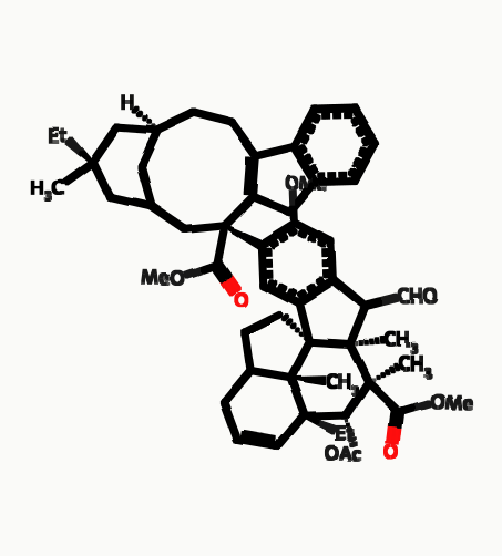 CC[C@]1(C)CC2C[C@H](CCC3=C(Cc4ccccc43)[C@@](C(=O)OC)(c3cc4c(cc3OC)C(C=O)[C@]3(C)[C@]45CCC4CC=C[C@@](CC)([C@@H](OC(C)=O)[C@]3(C)C(=O)OC)[C@]45C)C2)C1